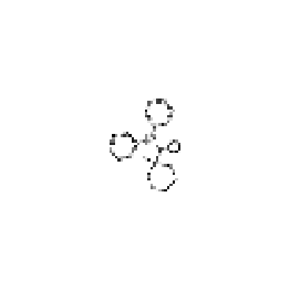 CC1(C(=O)P(c2ccccc2)c2ccccc2)CCCCC1